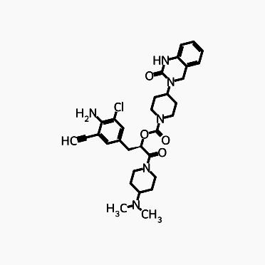 C#Cc1cc(C[C@@H](OC(=O)N2CCC(N3Cc4ccccc4NC3=O)CC2)C(=O)N2CCC(N(C)C)CC2)cc(Cl)c1N